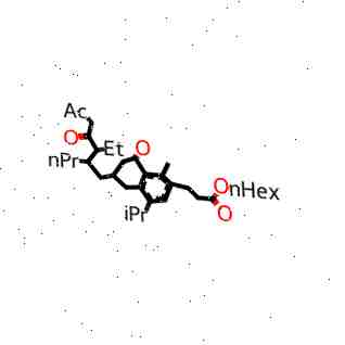 CCCCCCOC(=O)CCc1cc(C(C)C)c2c(c1C)C(=O)CC(CC(CCC)C(CC)C(=O)CC(C)=O)C2